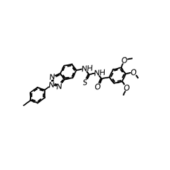 COc1cc(C(=O)NC(=S)Nc2ccc3nn(-c4ccc(C)cc4)nc3c2)cc(OC)c1OC